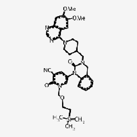 COc1cc2ncnc(N3CCC(CN4Cc5ccccc5N(c5cc(C#N)c(=O)n(COCC[Si](C)(C)C)c5)C4=O)CC3)c2cc1OC